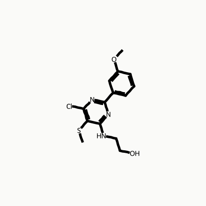 COc1cccc(-c2nc(Cl)c(SC)c(NCCO)n2)c1